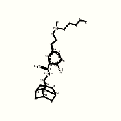 CCCCCN(C)CCCc1ccc(Cl)c(C(=O)NCC23CC4CC(CC(C4)C2)C3)c1